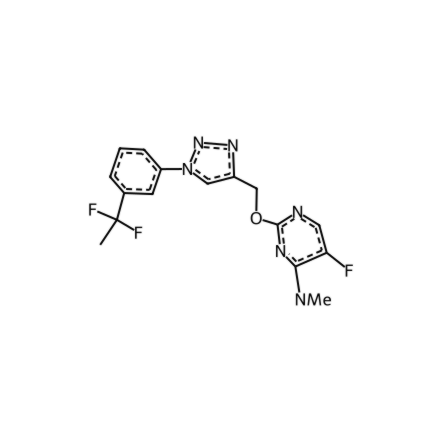 CNc1nc(OCc2cn(-c3cccc(C(C)(F)F)c3)nn2)ncc1F